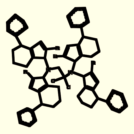 CCC1=CC2=C(CCCC2c2ccccc2)[CH]1[Hf]([CH2][C](Cl)(Cl)[Hf]([CH]1C(CC)=CC2=C1CCCC2c1ccccc1)[CH]1C(CC)=CC2=C1CCCC2c1ccccc1)[CH]1C(CC)=CC2=C1CCCC2c1ccccc1